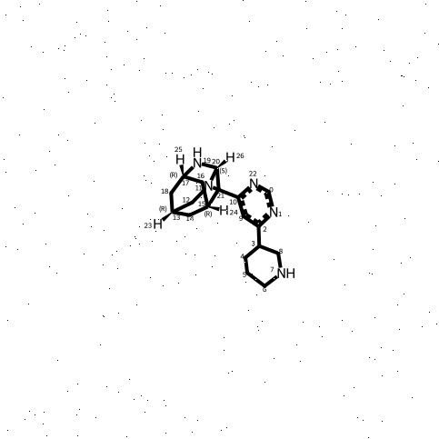 c1nc(C2CCCNC2)cc(N2C[C@@H]3C[C@@H]4C[C@H](C3)N[C@@H]2C4)n1